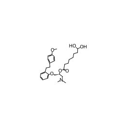 COc1ccc(CCc2ccccc2OC[C@H](CN(C)C)OC(=O)CCCCCCC(O)O)cc1